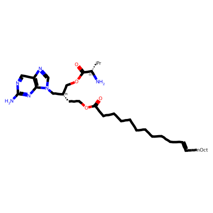 CCCCCCCCC=CCCCCCCCCCC(=O)OCC[C@@H](COC(=O)[C@@H](N)C(C)C)Cn1cnc2cnc(N)nc21